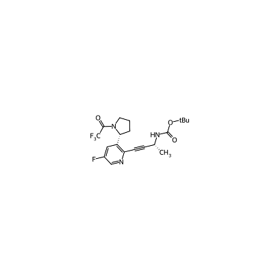 C[C@H](C#Cc1ncc(F)cc1[C@H]1CCCN1C(=O)C(F)(F)F)NC(=O)OC(C)(C)C